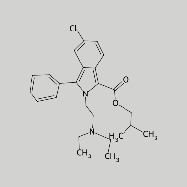 CCN(CC)CCn1c(C(=O)OCC(C)C)c2ccc(Cl)cc2c1-c1ccccc1